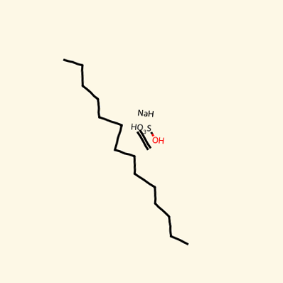 C=C.CCCCCCCCCCCCCC.O=S(=O)(O)O.[NaH]